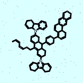 C/C=C\C=C/CCC1=C2C=C(n3c4c(c5c3C=CCC5)CCC=C4)CCC2C(C2=CCC(C3=C4C=Cc5cc6c(cc5C4CC=C3)=CCCC=6)C=C2)C2CC(N3c4ccccc4C4CCC=CC43)=CC=C12